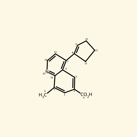 Cc1cc(C(=O)O)cc2c(C3=CCCC3)ccnc12